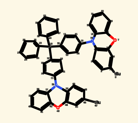 CC(C)(C)c1ccc2c(c1)Oc1ccccc1N2c1ccc([Si](c2ccccc2)(c2ccccc2)c2ccc(N3c4ccccc4Oc4cc(C(C)(C)C)ccc43)cc2)cc1